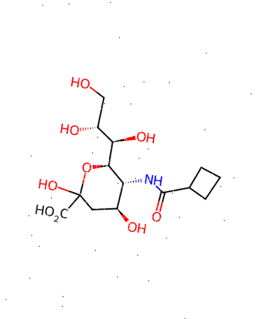 O=C(N[C@H]1[C@H]([C@H](O)[C@H](O)CO)OC(O)(C(=O)O)C[C@@H]1O)C1CCC1